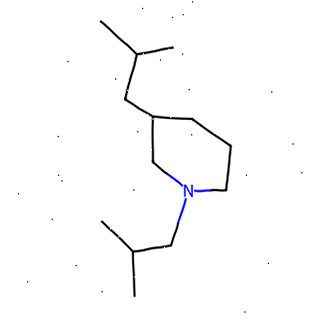 CC(C)CC1CCCN(CC(C)C)C1